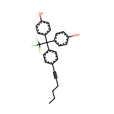 CCCCC#Cc1ccc(C(c2ccc(O)cc2)(c2ccc(O)cc2)C(F)(F)F)cc1